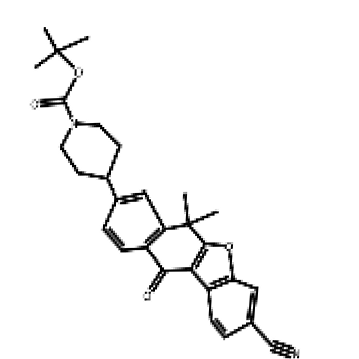 CC(C)(C)OC(=O)N1CCC(c2ccc3c(c2)C(C)(C)c2oc4cc(C#N)ccc4c2C3=O)CC1